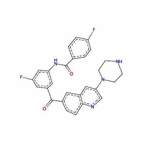 O=C(Nc1cc(F)cc(C(=O)c2ccc3ncc(N4CCNCC4)cc3c2)c1)c1ccc(F)cc1